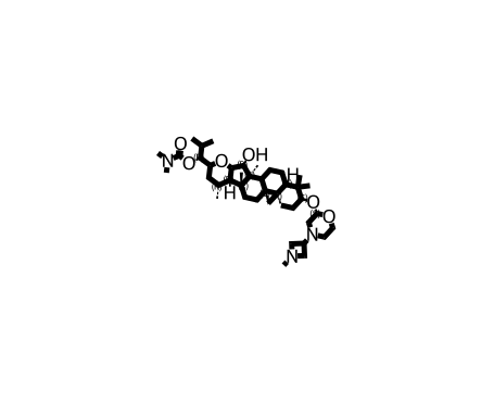 CC(C)[C@@H](OC(=O)N(C)C)C1C[C@@H](C)[C@H]2C(O1)[C@H](O)[C@@]1(C)C3CC[C@H]4C(C)(C)[C@@H](O[C@H]5CN(C6CN(C)C6)CCO5)CC[C@@]45C[C@@]35CC[C@]21C